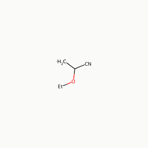 [CH2]C(C#N)OCC